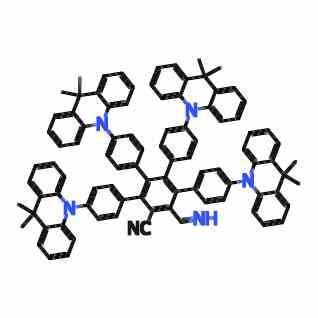 CC1(C)c2ccccc2N(c2ccc(-c3c(C#N)c(C=N)c(-c4ccc(N5c6ccccc6C(C)(C)c6ccccc65)cc4)c(-c4ccc(N5c6ccccc6C(C)(C)c6ccccc65)cc4)c3-c3ccc(N4c5ccccc5C(C)(C)c5ccccc54)cc3)cc2)c2ccccc21